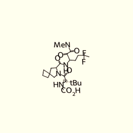 CNC(=O)C(=O)C(CCC(C)(F)F)NC(=O)C1CC2(CCC2)CN1C(=O)[C@@H](NC(=O)O)C(C)(C)C